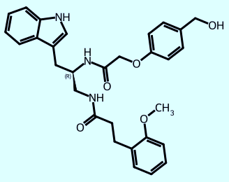 COc1ccccc1CCC(=O)NC[C@@H](Cc1c[nH]c2ccccc12)NC(=O)COc1ccc(CO)cc1